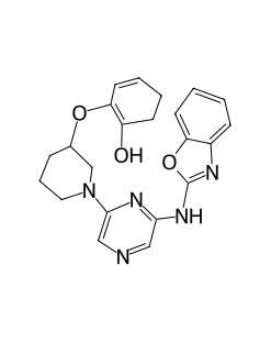 OC1=C(OC2CCCN(c3cncc(Nc4nc5ccccc5o4)n3)C2)C=CCC1